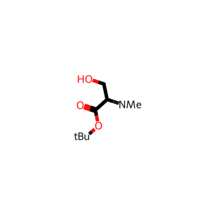 CNC(CO)C(=O)OC(C)(C)C